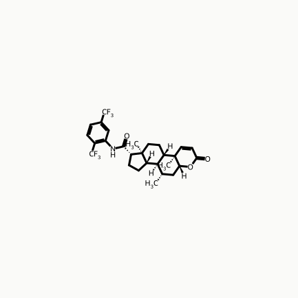 C[C@H]1C[C@H]2OC(=O)C=C[C@]2(C)[C@H]2CC[C@]3(C)[C@@H](C(=O)Nc4cc(C(F)(F)F)ccc4C(F)(F)F)CC[C@H]3[C@H]12